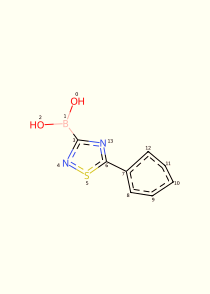 OB(O)c1nsc(-c2ccccc2)n1